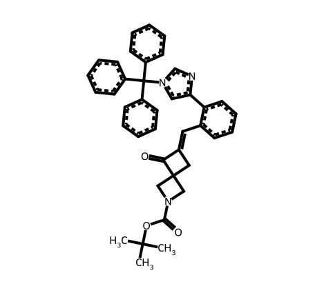 CC(C)(C)OC(=O)N1CC2(C/C(=C\c3ccccc3-c3cn(C(c4ccccc4)(c4ccccc4)c4ccccc4)cn3)C2=O)C1